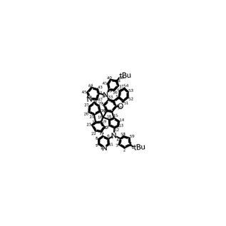 CC(C)(C)c1ccc(N(c2cccnc2)c2ccc3c(c2)C2(c4ccccc4-c4ccccc42)c2cc(N(c4ccc(C(C)(C)C)cc4)c4cccnc4)c4c(oc5ccccc54)c2-3)cc1